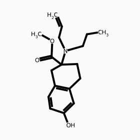 C=CCN(CCC)C1(C(=O)OC)CCc2cc(O)ccc2C1